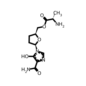 C[C@H](N)C(=O)OC[C@@H]1CC[C@H](n2cnc(C(N)=O)c2O)O1